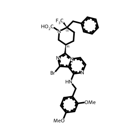 COc1ccc(CNc2nccn3c([C@@H]4CC[C@](Cc5ccccc5)(C(F)(F)F)N(C(=O)O)C4)nc(Br)c23)c(OC)c1